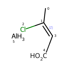 C/C(Cl)=C/C(=O)O.[AlH3]